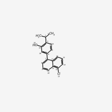 CC(C)c1ncc(-c2ccnc3c(Cl)cccc23)cc1O